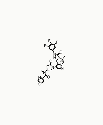 C[C@H]1Cn2ncc(N3CC(N(C)C(=O)c4cocn4)CC3=O)c2CN1C(=O)Nc1cc(F)c(F)c(F)c1